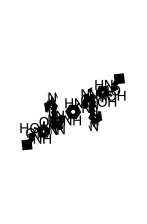 CN(C)[C@@H]1CCN(c2nc(N[C@H]3CC[C@H](Nc4nc(N5CC[C@@H](N(C)C)C5)nc5c4ncn5[C@@H]4C[C@H](NC(=O)C5CCC5)[C@@H](O)[C@H]4O)CC3)c3ncn([C@@H]4C[C@H](NC(=O)C5CCC5)[C@@H](O)[C@H]4O)c3n2)C1